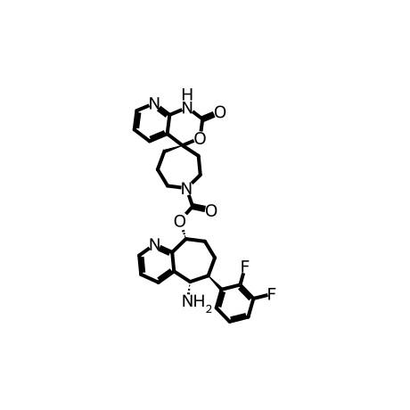 N[C@@H]1c2cccnc2[C@H](OC(=O)N2CCC[C@]3(CC2)OC(=O)Nc2ncccc23)CC[C@H]1c1cccc(F)c1F